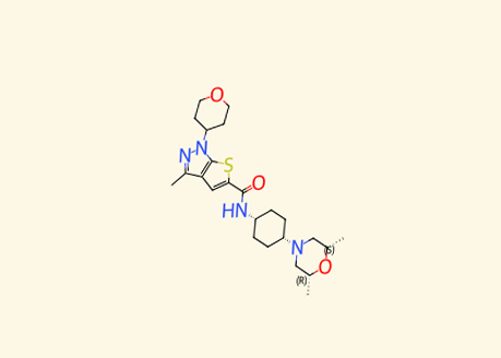 Cc1nn(C2CCOCC2)c2sc(C(=O)N[C@H]3CC[C@@H](N4C[C@@H](C)O[C@@H](C)C4)CC3)cc12